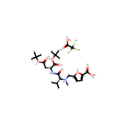 CC(C)[C@@H](C(=O)N[C@@H](CC(=O)OC(C)(C)C)C(=O)OC(C)(C)C)N(C)Cc1ccc(C(=O)O)o1.O=C(O)C(F)(F)F